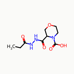 CCC(=O)NNC(=O)C1COCCN1C(=O)O